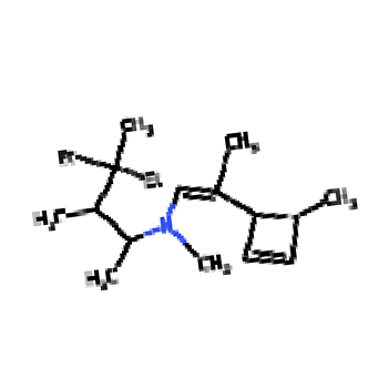 CCC(C)(CC)C(C)C(C)N(C)/C=C(/C)C1C=CC1C